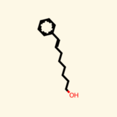 OCCCCCCC=Cc1ccccc1